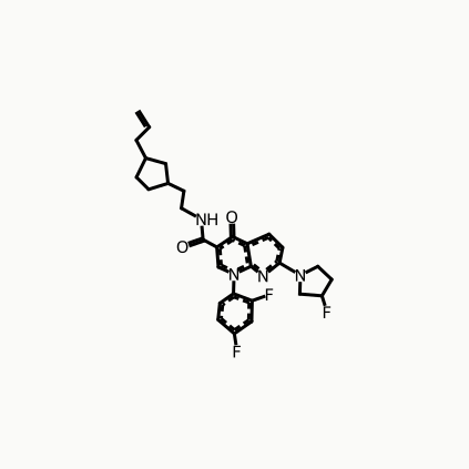 C=CCC1CCC(CCNC(=O)c2cn(-c3ccc(F)cc3F)c3nc(N4CCC(F)C4)ccc3c2=O)C1